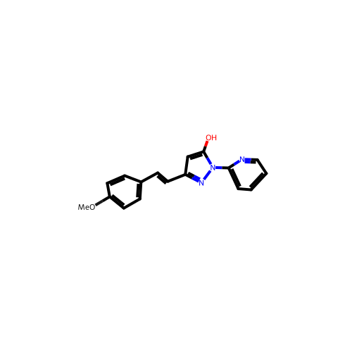 COc1ccc(C=Cc2cc(O)n(-c3ccccn3)n2)cc1